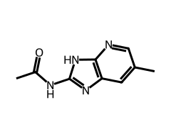 CC(=O)Nc1nc2cc(C)cnc2[nH]1